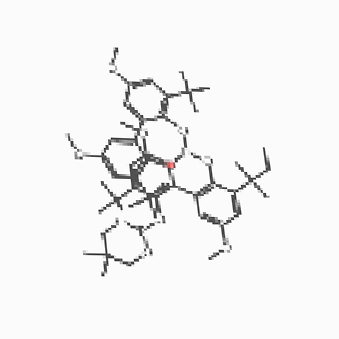 CCC(C)(C)c1cc(OC)cc(-c2cc(OC)cc(C(C)(C)C)c2OP2OCC(C)(C)CO2)c1Op1oc2c(C(C)(C)C)cc(OC)cc2c2cc(OC)cc(C(C)(C)C)c2o1